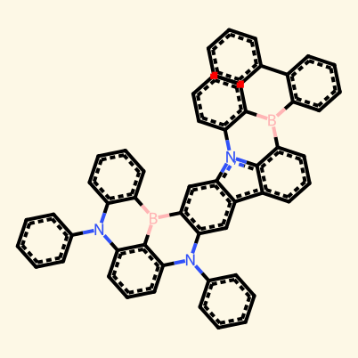 c1ccc(-c2ccccc2B2c3ccccc3-n3c4cc5c(cc4c4cccc2c43)N(c2ccccc2)c2cccc3c2B5c2ccccc2N3c2ccccc2)cc1